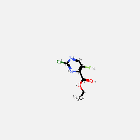 CCOC(=O)c1nc(Cl)ncc1F